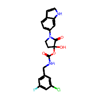 O=C(NCc1cc(F)cc(Cl)c1)OC1(O)CCN(c2ccc3cc[nH]c3c2)C1=O